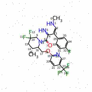 CN/C=C(\C(=N)C(=O)N1CC(F)(F)C[C@@H](C)C1COc1ccc(C(F)(F)F)cn1)c1ccc(F)cc1